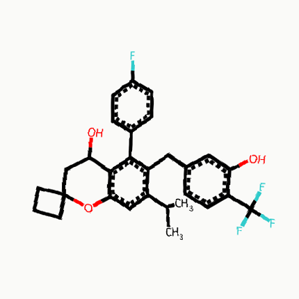 CC(C)c1cc2c(c(-c3ccc(F)cc3)c1Cc1ccc(C(F)(F)F)c(O)c1)C(O)CC1(CCC1)O2